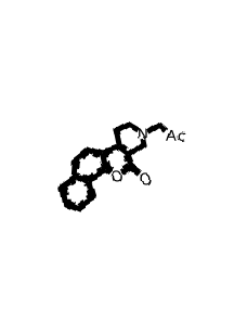 CC(=O)CN1CCc2c(c(=O)oc3c2ccc2ccccc23)C1